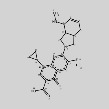 CNC1C=CCC2CN(c3nc4c(cc3F)c(=O)c(C(=O)O)cn4C3CC3)CC21.Cl